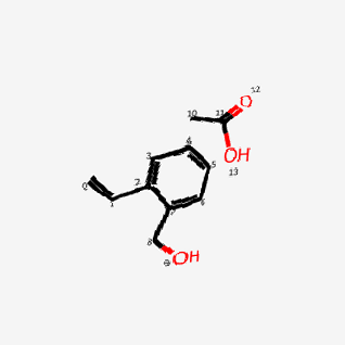 C=Cc1ccccc1CO.CC(=O)O